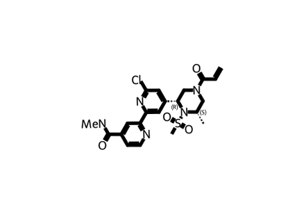 C=CC(=O)N1C[C@H](C)N(S(C)(=O)=O)[C@H](c2cc(Cl)nc(-c3cc(C(=O)NC)ccn3)c2)C1